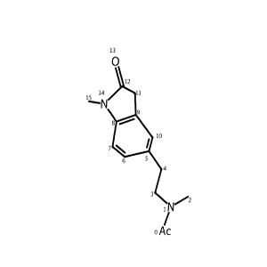 CC(=O)N(C)CCc1ccc2c(c1)CC(=O)N2C